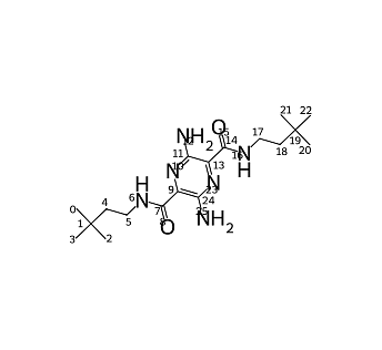 CC(C)(C)CCNC(=O)c1nc(N)c(C(=O)NCCC(C)(C)C)nc1N